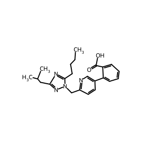 CCCCc1nc(CC(C)C)nn1Cc1ccc(-c2ccccc2C(=O)O)cn1